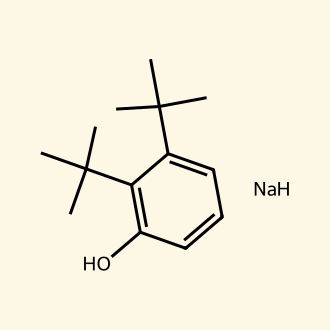 CC(C)(C)c1cccc(O)c1C(C)(C)C.[NaH]